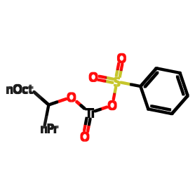 CCCCCCCCC(CCC)[O][Ti](=[O])[O]S(=O)(=O)c1ccccc1